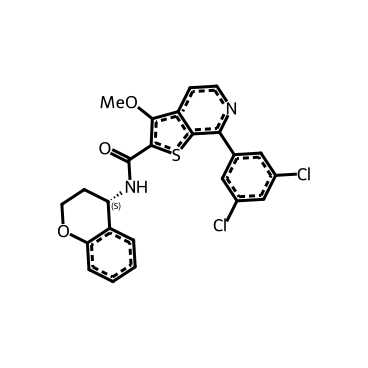 COc1c(C(=O)N[C@H]2CCOc3ccccc32)sc2c(-c3cc(Cl)cc(Cl)c3)nccc12